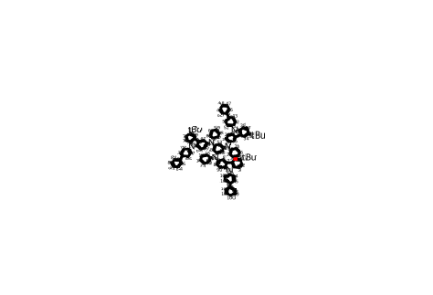 CC(C)(C)c1ccc2c(c1)c1cc(N(c3ccccc3)c3cc(N(c4ccccc4)c4ccc5c(c4)c4cc(C(C)(C)C)ccc4n5-c4ccc(-c5ccccc5)cc4)cc(N(c4ccccc4)c4ccc5c(c4)c4cc(C(C)(C)C)ccc4n5-c4ccc(-c5ccccc5)cc4)c3)ccc1n2-c1ccc(-c2ccccc2)cc1